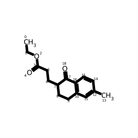 CCOC(=O)CCC1CCc2cc(C)ccc2C1=O